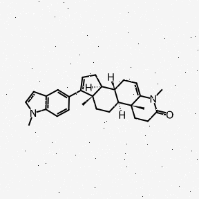 CN1C(=O)CC[C@@]2(C)C1=CC[C@@H]1[C@@H]2CC[C@]2(C)C(c3ccc4c(ccn4C)c3)=CC[C@@H]12